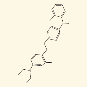 CCN(CC)c1ccc(CCc2ccc(C(C)c3ccccc3C)cc2)c(C)c1